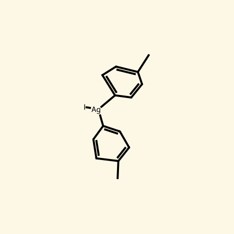 Cc1cc[c]([Ag]([I])[c]2ccc(C)cc2)cc1